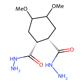 COC1C[C@H](C(=O)NN)[C@H](C(=O)NN)CC1OC